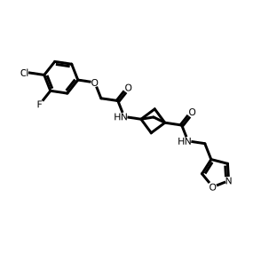 O=C(COc1ccc(Cl)c(F)c1)NC12CC(C(=O)NCc3cnoc3)(C1)C2